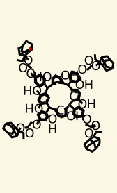 CCC1(OC(=O)COc2ccc(C3c4cc(c(O)cc4O)C(c4ccc(OCC(=O)OC5(CC)C6CC7CC(C6)CC5C7)cc4)c4cc(c(O)cc4O)C(c4ccc(OCC(=O)OC5(CC)C6CC7CC(C6)CC5C7)cc4)c4cc(c(O)cc4O)C(c4ccc(OCC(=O)OC5(CC)C6CC7CC(C6)CC5C7)cc4)c4cc3c(O)cc4O)cc2)C2CC3CC(C2)CC1C3